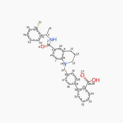 CC(NC(=O)c1ccc2c(c1)CCCN2Cc1ccc(-c2ccccc2C(=O)O)cc1)c1ccccc1F